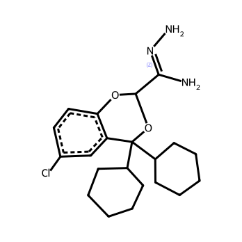 N/N=C(\N)C1Oc2ccc(Cl)cc2C(C2CCCCC2)(C2CCCCC2)O1